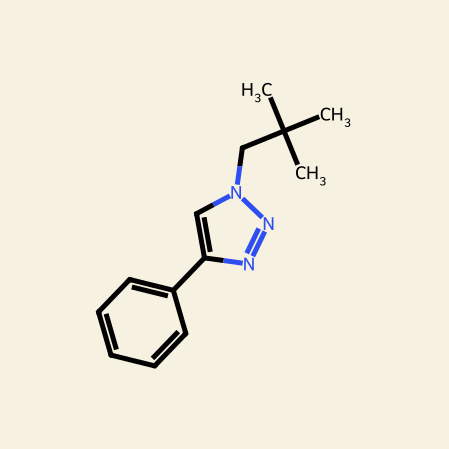 CC(C)(C)Cn1cc(-c2ccccc2)nn1